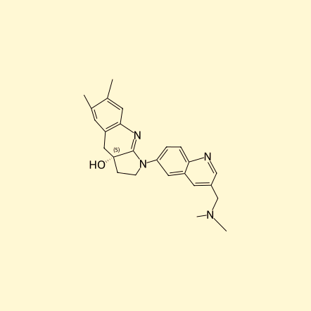 Cc1cc2c(cc1C)N=C1N(c3ccc4ncc(CN(C)C)cc4c3)CC[C@@]1(O)C2